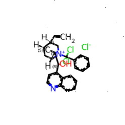 C=C[C@H]1C[N+]2(C(Cl)(Cl)c3ccccc3)CC[C@H]1C[C@H]2[C@H](O)c1ccnc2ccccc12.[Cl-]